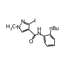 CCCCc1ccccc1NC(=O)c1cn(C)nc1I